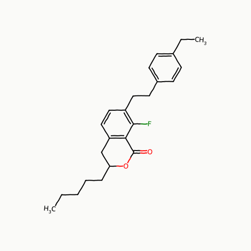 CCCCCC1Cc2ccc(CCc3ccc(CC)cc3)c(F)c2C(=O)O1